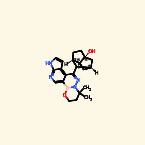 CC1(C)CCOB2c3cnc4[nH]ccc4c3C(C3[C@@H]4C[C@@H]5[C@@H]3CC[C@@]5(O)C4)=NN21